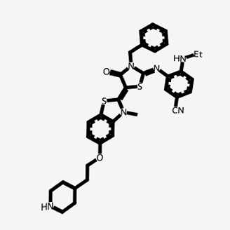 CCNc1ccc(C#N)cc1N=C1SC(=C2Sc3ccc(OCCC4CCNCC4)cc3N2C)C(=O)N1Cc1ccccc1